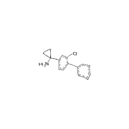 NC1(c2ccc(-c3ccccc3)c(Cl)c2)CC1